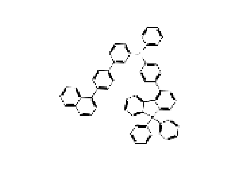 c1ccc(N(c2ccc(-c3cccc4c3-c3ccccc3C4(c3ccccc3)c3ccccc3)cc2)c2cccc(-c3ccc(-c4cccc5ccccc45)cc3)c2)cc1